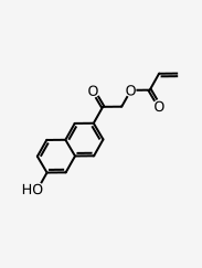 C=CC(=O)OCC(=O)c1ccc2cc(O)ccc2c1